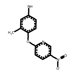 Cc1cc([NH])ccc1Oc1ccc([N+](=O)[O-])cn1